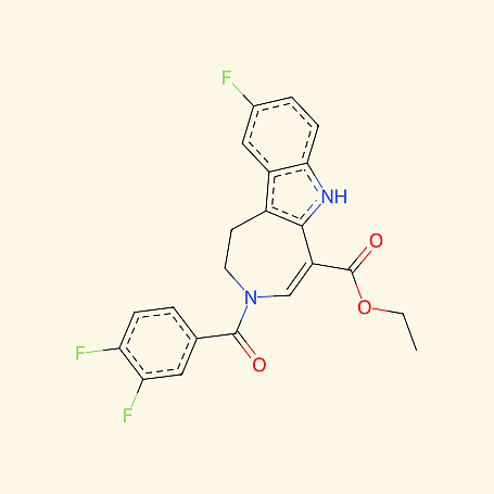 CCOC(=O)C1=CN(C(=O)c2ccc(F)c(F)c2)CCc2c1[nH]c1ccc(F)cc21